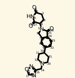 O=C1CCC(N2Cc3cc(C4CCN(Cc5ncon5)CC4)ccc3C2=O)C(=O)N1